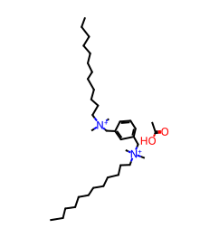 CC(=O)O.CCCCCCCCCCCC[N+](C)(C)Cc1cccc(C[N+](C)(C)CCCCCCCCCCCC)c1